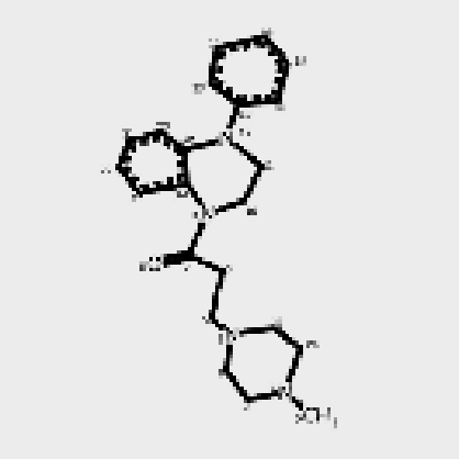 CN1CCN(CCC(=O)N2CCN(c3ccccc3)c3ccccc32)CC1